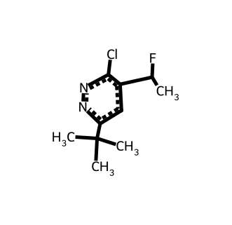 CC(F)c1cc(C(C)(C)C)nnc1Cl